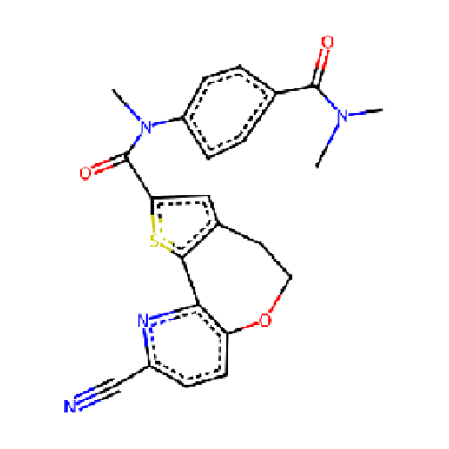 CN(C)C(=O)c1ccc(N(C)C(=O)c2cc3c(s2)-c2nc(C#N)ccc2OCC3)cc1